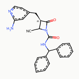 N#CC1[C@@H](Cc2ccnc(N)c2)C(=O)N1C(=O)NC(c1ccccc1)c1ccccc1